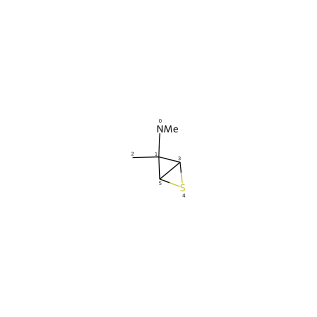 CNC1(C)C2SC21